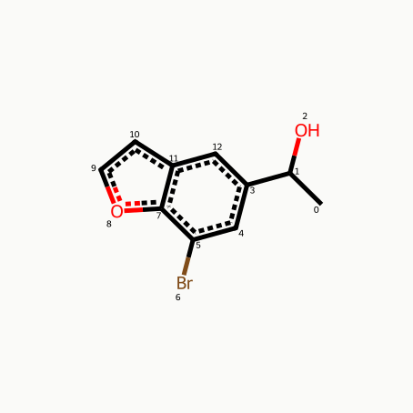 CC(O)c1cc(Br)c2occc2c1